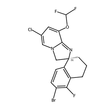 Fc1c(Br)ccc2c1CCC[C@@]21CN2C=C(Cl)C=C(OC(F)F)C2=N1